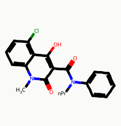 CCCN(C(=O)c1c(O)c2c(Cl)cccc2n(C)c1=O)c1ccccc1